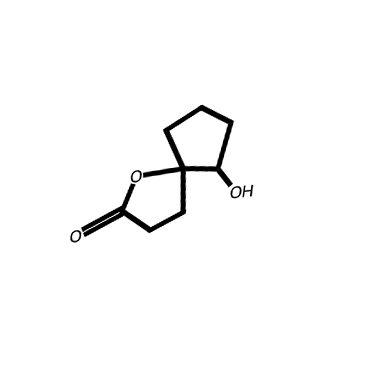 O=C1CCC2(CCCC2O)O1